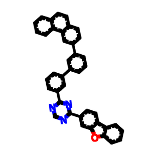 c1cc(-c2cccc(-c3ncnc(-c4ccc5c(c4)oc4ccccc45)n3)c2)cc(-c2ccc3ccc4ccccc4c3c2)c1